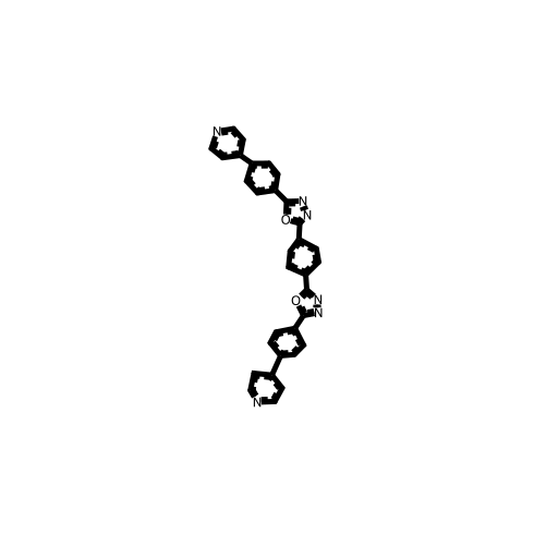 c1cc(-c2ccc(-c3nnc(-c4ccc(-c5nnc(-c6ccc(-c7ccncc7)cc6)o5)cc4)o3)cc2)ccn1